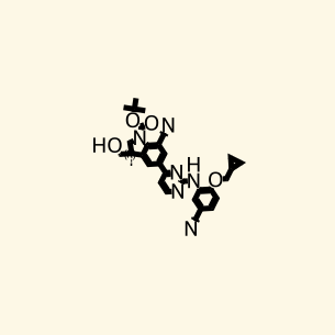 CC(C)(C)OC(=O)N1C[C@](C)(CO)c2cc(-c3ccnc(Nc4cc(C#N)ccc4OCC4CC4)n3)cc(C#N)c21